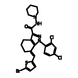 O=C(NN1CCCCC1)c1nn(-c2ccc(Cl)cc2Cl)c2c1CCC/C2=C\c1ccc(Br)s1